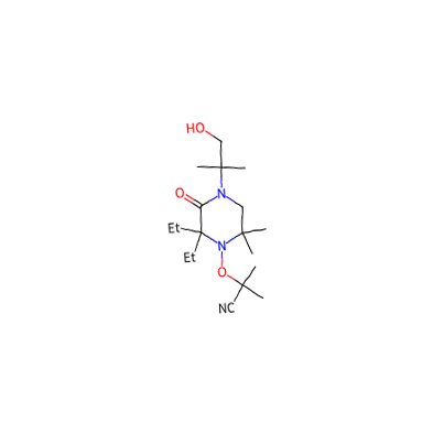 CCC1(CC)C(=O)N(C(C)(C)CO)CC(C)(C)N1OC(C)(C)C#N